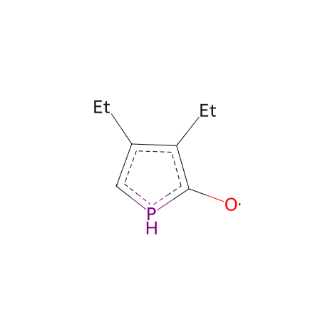 CCc1c[pH]c([O])c1CC